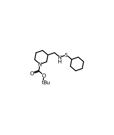 CC(C)(C)OC(=O)N1CCCC(CNSC2CCCCC2)C1